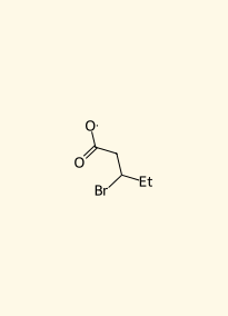 CCC(Br)CC([O])=O